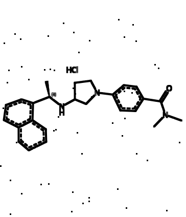 C[C@@H](NC1CCN(c2ccc(C(=O)N(C)C)cc2)C1)c1cccc2ccccc12.Cl